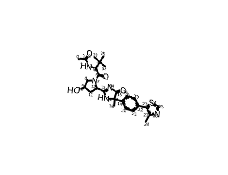 CC(=O)N[C@H](C(=O)N1CC(O)CC1C1=NC(=O)C(C)(c2ccc(-c3scnc3C)cc2)N1)C(C)(C)C